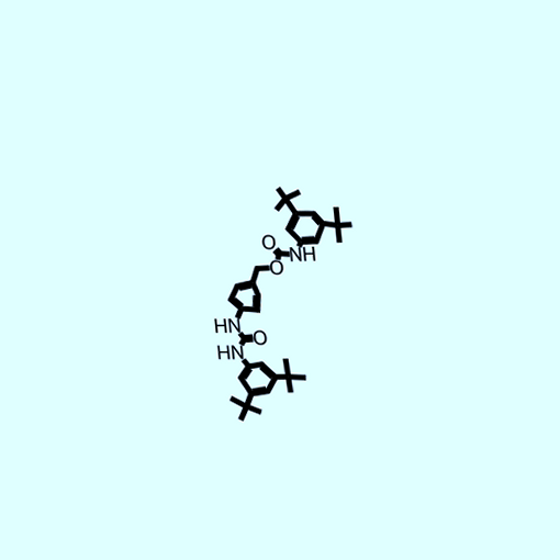 CC(C)(C)c1cc(NC(=O)Nc2ccc(COC(=O)Nc3cc(C(C)(C)C)cc(C(C)(C)C)c3)cc2)cc(C(C)(C)C)c1